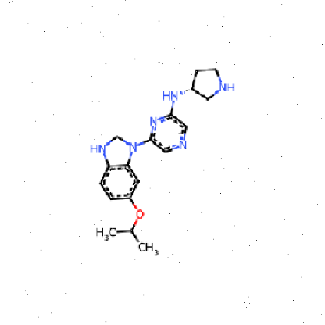 CC(C)Oc1ccc2c(c1)N(c1cncc(N[C@@H]3CCNC3)n1)CN2